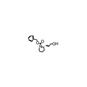 O=C(OCc1ccccc1)N1CCCC[C@H]1C=CCO